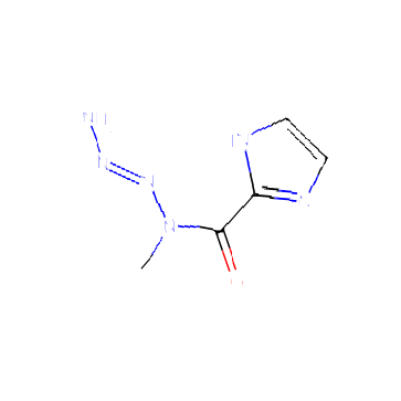 CN(N=NN)C(=O)c1ncc[nH]1